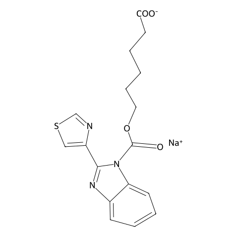 O=C([O-])CCCCCOC(=O)n1c(-c2cscn2)nc2ccccc21.[Na+]